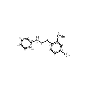 COc1cc(C(F)(F)F)ccc1CCNc1ccncn1